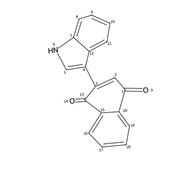 O=C1C=C(c2c[nH]c3ccccc23)C(=O)c2ccccc21